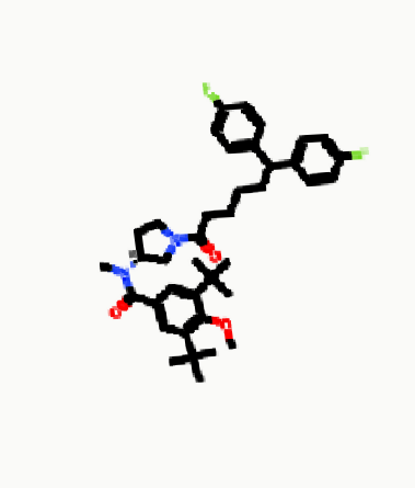 COc1c(C(C)(C)C)cc(C(=O)N(C)[C@@H]2CCN(C(=O)CCCCC(c3ccc(F)cc3)c3ccc(F)cc3)C2)cc1C(C)(C)C